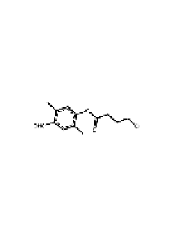 Cc1cc(OC(=O)CCCO)c(C)cc1C=O